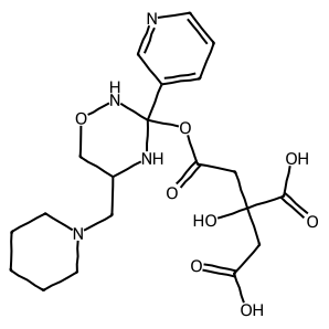 O=C(O)CC(O)(CC(=O)OC1(c2cccnc2)NOCC(CN2CCCCC2)N1)C(=O)O